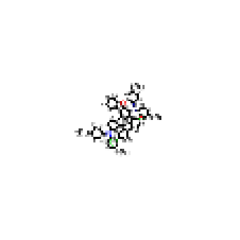 CC(C)(C)c1ccc(N(c2ccc(C(C)(C)C)cc2)c2ccc3c(c2)C2(c4cc(Cl)ccc4-c4ccc(Cl)cc42)c2cc(N(c4ccc(C(C)(C)C)cc4)c4ccc(C(C)(C)C)cc4)c4oc5ccccc5c4c2-3)cc1